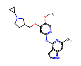 COc1cnc(Nc2nc(C)cc3[nH]ccc23)cc1OC[C@H]1CCN(C2CC2)C1